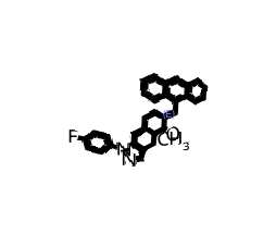 CC12Cc3cnn(-c4ccc(F)cc4)c3C=C1CC/C(=C\c1c3ccccc3cc3ccccc13)C2=O